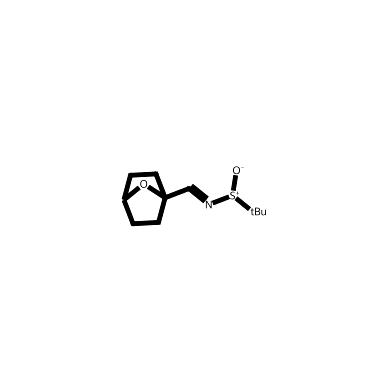 CC(C)(C)[S+]([O-])N=CC12CCC(CC1)O2